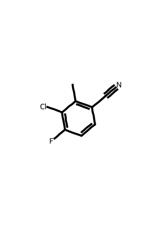 Cc1c(C#N)ccc(F)c1Cl